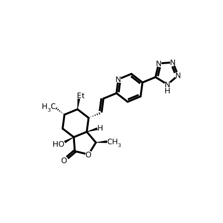 CC[C@H]1[C@H](/C=C/c2ccc(-c3nnn[nH]3)cn2)[C@@H]2[C@@H](C)OC(=O)[C@]2(O)C[C@@H]1C